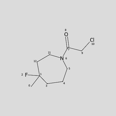 CC1(F)CCCN(C(=O)CCl)CC1